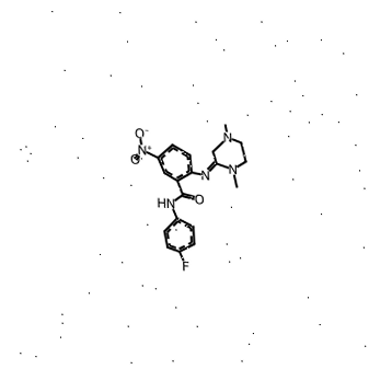 CN1CCN(C)C(=Nc2ccc([N+](=O)[O-])cc2C(=O)Nc2ccc(F)cc2)C1